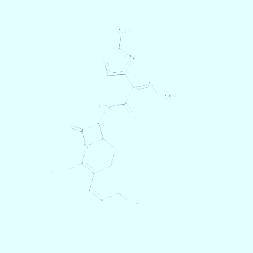 CO/N=C(\C(=O)NC1C(=O)N2C(C(=O)O)=C(/C=C\COC(C)=O)CS[C@H]12)c1csc(N)n1